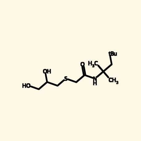 CC(C)(C)CC(C)(C)NC(=O)CSCC(O)CO